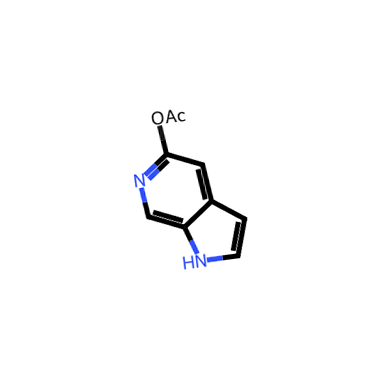 CC(=O)Oc1cc2cc[nH]c2cn1